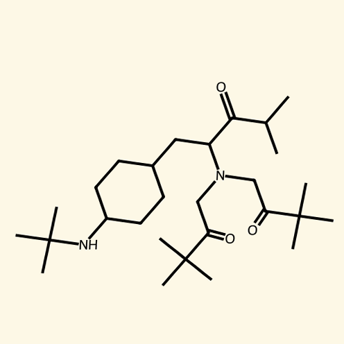 CC(C)C(=O)C(CC1CCC(NC(C)(C)C)CC1)N(CC(=O)C(C)(C)C)CC(=O)C(C)(C)C